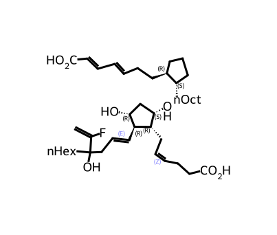 C=C(F)C(O)(C/C=C/[C@@H]1[C@@H](C/C=C\CCC(=O)O)[C@@H](O)C[C@H]1O)CCCCCC.CCCCCCCC[C@H]1CCC[C@@H]1CCC=CC=CC(=O)O